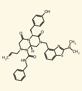 C=CCN1CC(=O)N2[C@@H](Cc3ccc(O)cc3)C(=O)N(Cc3cccc4sc(N(C)C)nc34)C[C@@H]2N1C(=O)NCc1ccccc1